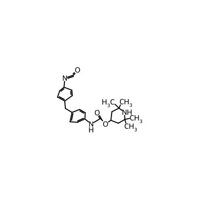 CC1(C)CC(OC(=O)Nc2ccc(Cc3ccc(N=C=O)cc3)cc2)CC(C)(C)N1